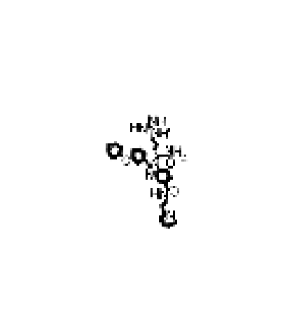 N=C(N)NCCC[C@H](C(N)=O)n1c(-c2cccc(Oc3ccccc3)c2)nc2cc(C(=O)NCCc3ccccn3)ccc21